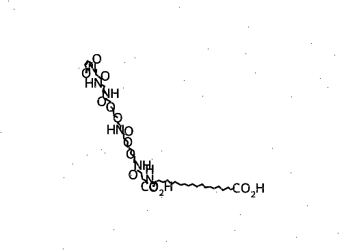 O=C(O)CCCCCCCCCCCCCCCCCCC(=O)NC(CCC(=O)NCCOCCOCC(=O)NCCOCCOCC(=O)NCCNC(=O)CCN1C(=O)C=CC1=O)C(=O)O